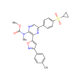 CC(C)(C)OC(=O)N(c1ncc(-c2ccc(S(=O)(=O)C3CC3)cc2)nc1-c1cc(-c2ccc(C#N)cc2)no1)C(C)(C)C